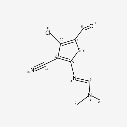 CN(C)C=Nc1sc(C=O)c(Cl)c1C#N